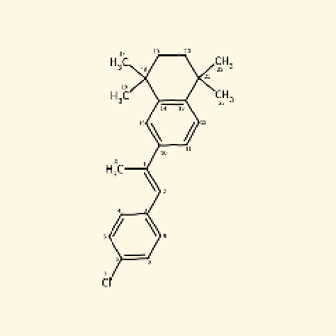 CC(=Cc1ccc(Cl)cc1)c1ccc2c(c1)C(C)(C)CCC2(C)C